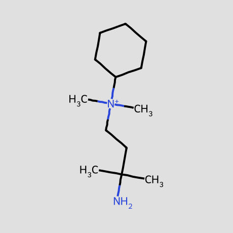 CC(C)(N)CC[N+](C)(C)C1CCCCC1